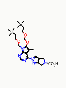 Cc1c(OCOCC[Si](C)(C)C)n(COCC[Si](C)(C)C)c2ncnc(-n3cc4c(n3)CN(C(=O)O)C4)c12